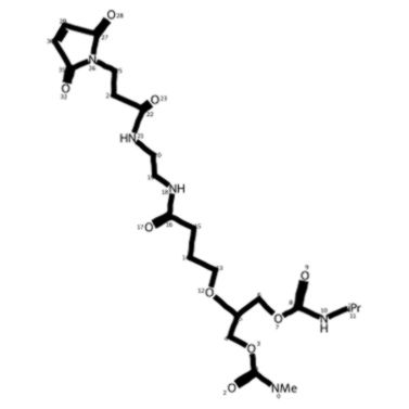 CNC(=O)OCC(COC(=O)NC(C)C)OCCCC(=O)NCCNC(=O)CCN1C(=O)C=CC1=O